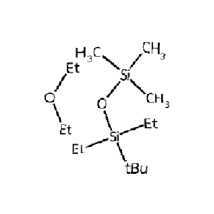 CCOCC.CC[Si](CC)(O[Si](C)(C)C)C(C)(C)C